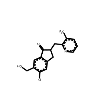 O=C1c2cc(CO)c(Cl)cc2CC1Cc1ncccc1C(F)(F)F